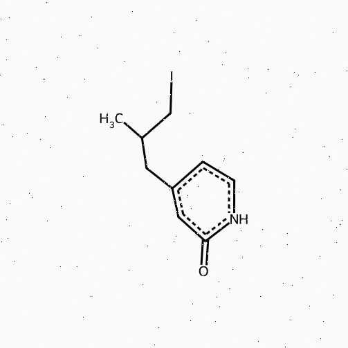 CC(CI)Cc1cc[nH]c(=O)c1